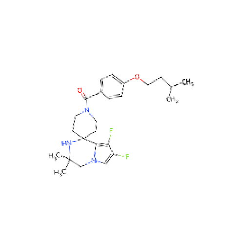 CC(C)CCOc1ccc(C(=O)N2CCC3(CC2)NC(C)(C)Cn2cc(F)c(F)c23)cc1